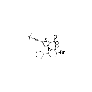 COC(=O)c1sc(C#CC(C)(C)C)cc1N1C(=O)[C@@H](Br)CCC1C1CCCCC1